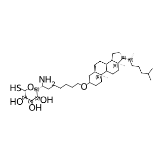 CC(C)CCC[C@@H](C)[C@H]1CCC2C3CC=C4CC(OCCCCCCC(N)[C@H]5OC(S)[C@@H](O)[C@@H](O)[C@@H]5O)CC[C@]4(C)C3CC[C@@]21C